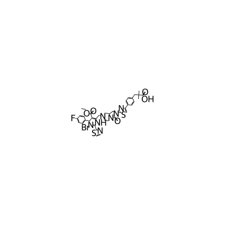 CCOC(=O)C1=C(CN2CCN3C(=O)N(c4nc(-c5ccc(CC(C)(C)C(=O)O)cc5)cs4)CC3C2)NC(c2nccs2)=NC1c1ccc(F)cc1Br